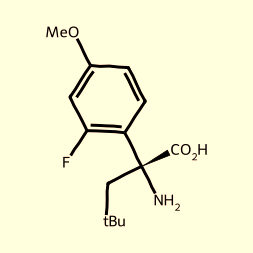 COc1ccc([C@](N)(CC(C)(C)C)C(=O)O)c(F)c1